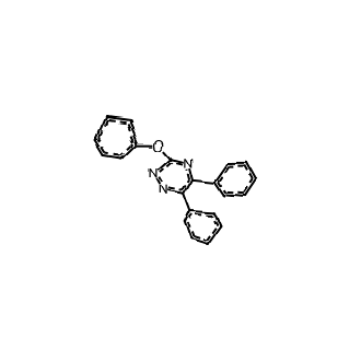 c1ccc(Oc2nnc(-c3ccccc3)c(-c3ccccc3)n2)cc1